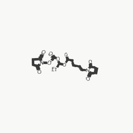 CCC(OC(=O)CCCCN1C(=O)C=CC1=O)OC(=O)ON1C(=O)CCC1=O